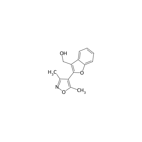 Cc1noc(C)c1-c1oc2ccccc2c1CO